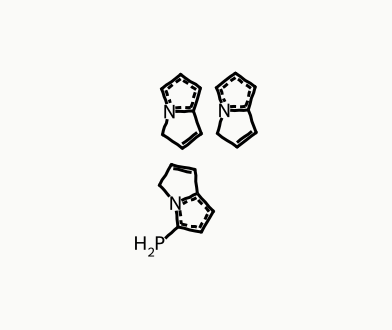 C1=Cc2cccn2C1.C1=Cc2cccn2C1.Pc1ccc2n1CC=C2